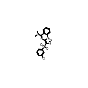 CN(C)c1nc2c(S(=O)(=O)c3cccc(Cl)c3)nnn2c2ccccc12